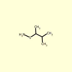 CC(C)C(C)SN